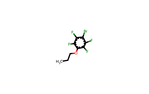 CCCOc1c(F)c(F)c(Br)c(F)c1F